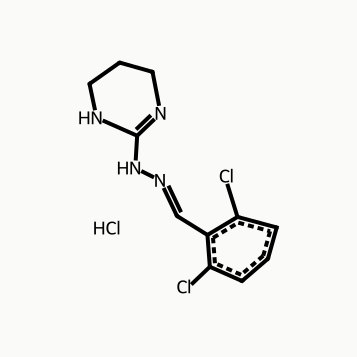 Cl.Clc1cccc(Cl)c1/C=N/NC1=NCCCN1